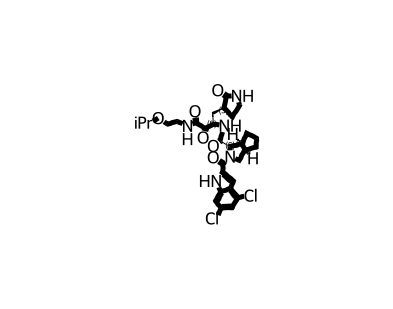 CC(C)OCCNC(=O)C(=O)[C@H](C[C@@H]1CCNC1=O)NC(=O)[C@@H]1[C@H]2CCC[C@H]2CN1C(=O)c1cc2c(Cl)cc(Cl)cc2[nH]1